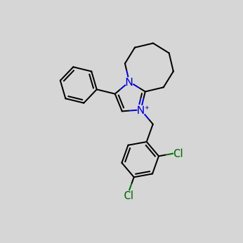 Clc1ccc(C[n+]2cc(-c3ccccc3)n3c2CCCCCC3)c(Cl)c1